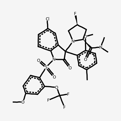 COc1ccc(S(=O)(=O)N2C(=O)C(c3cc(C)ccc3OC)(N3C[C@@H](F)C[C@H]3C(=O)N(C)C)c3cc(Cl)ccc32)c(OC(F)(F)F)c1